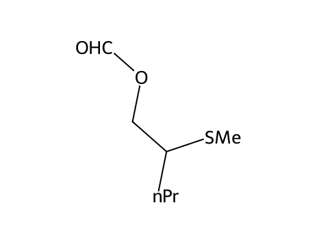 CCCC(COC=O)SC